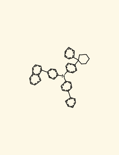 c1ccc(-c2ccc(N(c3ccc(-c4cccc5ccccc45)cc3)c3ccc(C4(c5ccccc5)CCCCC4)cc3)cc2)cc1